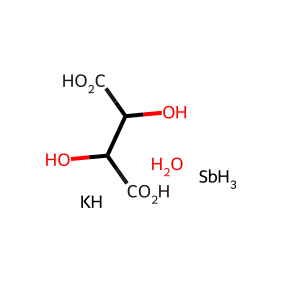 O.O=C(O)C(O)C(O)C(=O)O.[KH].[SbH3]